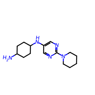 NC1CCC(Nc2cnc(N3CCCCC3)nc2)CC1